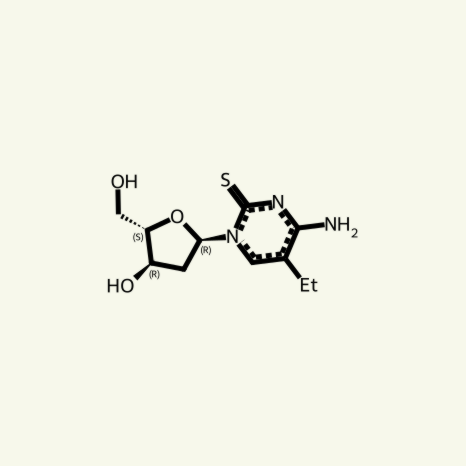 CCc1cn([C@H]2C[C@@H](O)[C@H](CO)O2)c(=S)nc1N